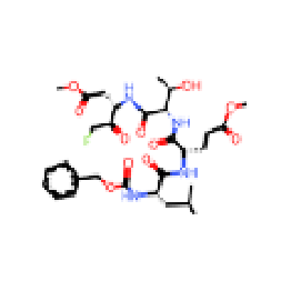 COC(=O)CC[C@H](NC(=O)[C@H](CC(C)C)NC(=O)OCc1ccccc1)C(=O)N[C@H](C(=O)N[C@@H](CC(=O)OC)C(=O)CF)[C@@H](C)O